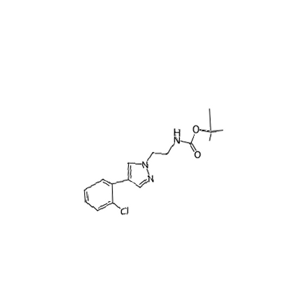 CC(C)(C)OC(=O)NCCn1cc(-c2ccccc2Cl)cn1